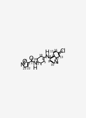 O=C(NC1CCC(Nc2ccnc3cc(Cl)ccc23)CC1)c1ccno1